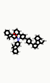 CC1(C)c2ccccc2-c2ccc(N(c3ccc4c(c3)C(C)(C)c3ccccc3-4)c3cc(-c4ccc(-c5cccc6c5-c5cccc7cccc-6c57)cc4)ccc3-c3ccccc3)cc21